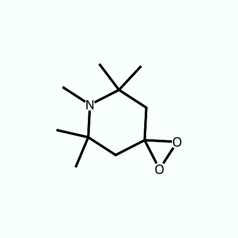 CN1C(C)(C)CC2(CC1(C)C)OO2